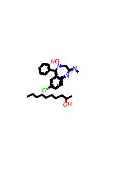 C/N=C1/CN(O)C(c2ccccc2)=c2cc(Cl)ccc2=N1.CCCCCCCCC(C)O